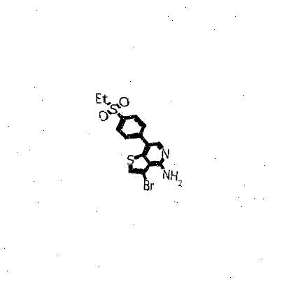 CCS(=O)(=O)c1ccc(-c2cnc(N)c3c(Br)csc23)cc1